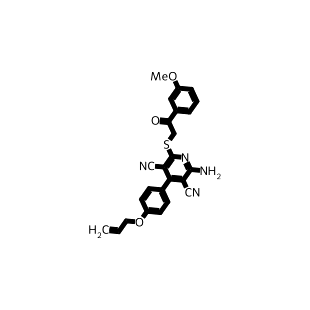 C=CCOc1ccc(-c2c(C#N)c(N)nc(SCC(=O)c3cccc(OC)c3)c2C#N)cc1